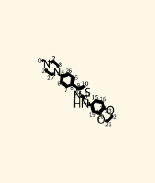 CN1CCN(c2ccc(-c3csc(Nc4ccc5c(c4)OCCO5)n3)cc2)CC1